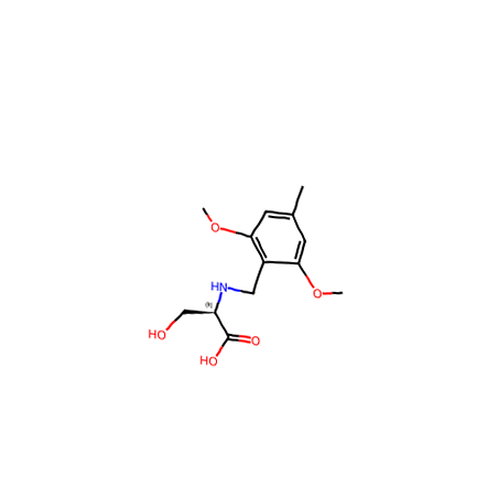 COc1cc(C)cc(OC)c1CN[C@H](CO)C(=O)O